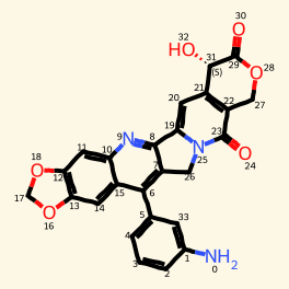 Nc1cccc(-c2c3c(nc4cc5c(cc24)OCO5)-c2cc4c(c(=O)n2C3)COC(=O)[C@H]4O)c1